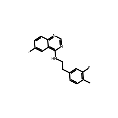 Cc1ccc(CCNc2ncnc3ccc(F)cc23)cc1F